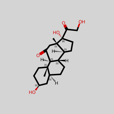 C[C@]12CC[C@H](O)C[C@@H]1CC[C@@H]1[C@@H]2C(=O)C[C@@]2(C)[C@H]1CC[C@]2(O)C(=O)CO